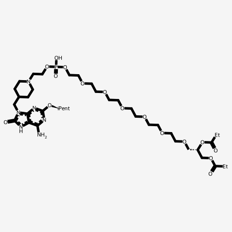 CCC[C@H](C)Oc1nc(N)c2[nH]c(=O)n(CC3CCN(CCOP(=O)(O)OCCOCCOCCOCCOCCOCCOC[C@@H](COC(=O)CC)OC(=O)CC)CC3)c2n1